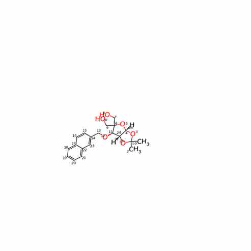 CC1(C)O[C@H]2OC(CO)(CO)[C@H](OCc3ccc4ccccc4c3)[C@H]2O1